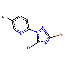 CCc1nc(Br)nn1-c1ccc(C#N)cn1